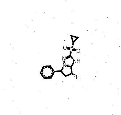 [2H]C1CC(c2ccccc2)N2N=C(S(=O)(=O)C3CC3)NC12